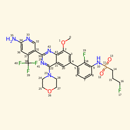 COc1cc(-c2cccc(NS(=O)(=O)CCCF)c2F)cc2c(N3CCOCC3)nc(-c3cnc(N)cc3C(F)(F)F)nc12